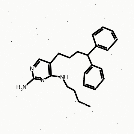 CCCCNc1nc(N)ncc1CCCC(c1ccccc1)c1ccccc1